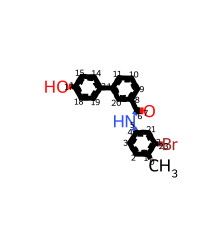 Cc1ccc(NC(=O)c2cccc(-c3ccc(O)cc3)c2)cc1Br